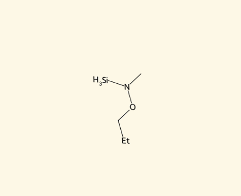 CCCON(C)[SiH3]